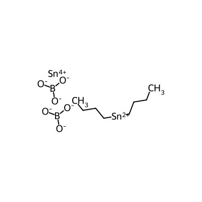 CCC[CH2][Sn+2][CH2]CCC.[O-]B([O-])[O-].[O-]B([O-])[O-].[Sn+4]